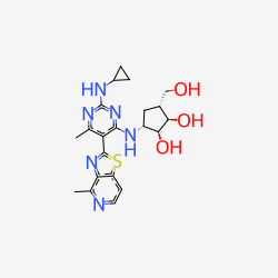 Cc1nc(NC2CC2)nc(N[C@@H]2C[C@H](CO)[C@@H](O)[C@H]2O)c1-c1nc2c(C)nccc2s1